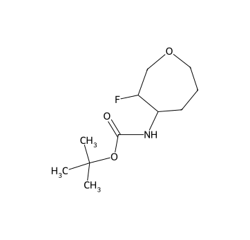 CC(C)(C)OC(=O)NC1CCCOCC1F